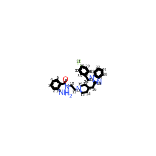 Nc1ccccc1C(=O)NCCN1CCC(Cc2nc3ccccc3n2Cc2ccc(F)cc2)CC1